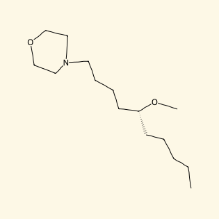 CCCCC[C@H](CCCCN1CCOCC1)OC